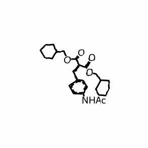 CC(=O)Nc1ccc(C=C(C(=O)OCC2CCCCC2)C(=O)OCC2CCCCC2)cc1